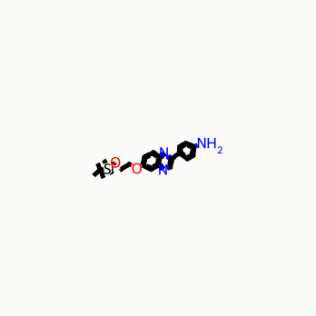 CC(C)(C)[Si](C)(C)OCCOc1ccc2nc(-c3ccc(N)cc3)cnc2c1